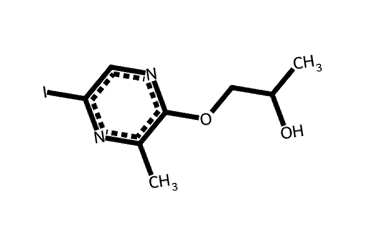 Cc1nc(I)cnc1OCC(C)O